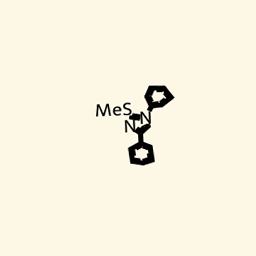 CSc1nc(-c2ccccc2)cn1-c1ccccc1